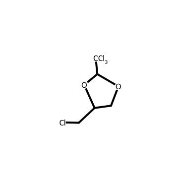 ClCC1COC(C(Cl)(Cl)Cl)O1